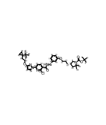 CC(C)(C)OC(=O)N1C[C@@H](CCCOc2cccc(SNC(=O)c3ccc(-n4ccc(OCCC5(C(F)(F)F)CC5)n4)nc3Cl)c2)CC1(C)C